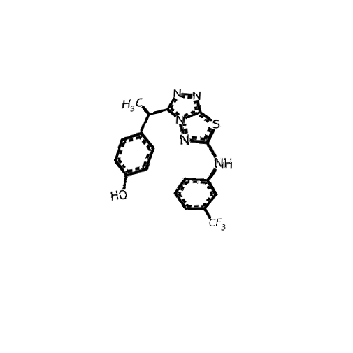 CC(c1ccc(O)cc1)c1nnc2sc(Nc3cccc(C(F)(F)F)c3)nn12